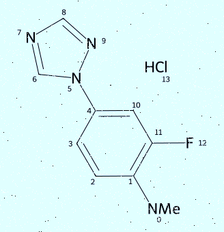 CNc1ccc(-n2cncn2)cc1F.Cl